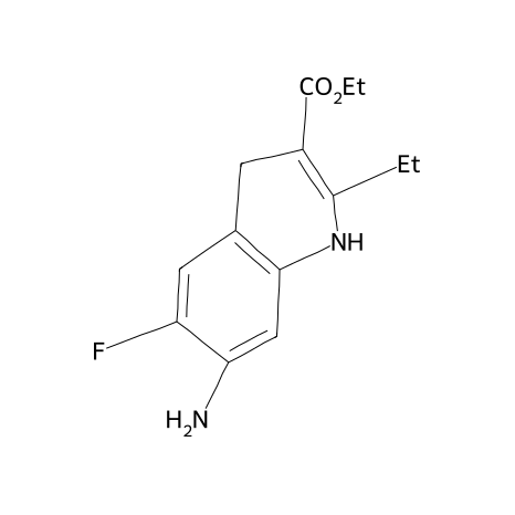 CCOC(=O)C1=C(CC)Nc2cc(N)c(F)cc2C1